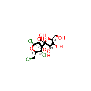 OC[C@H]1O[C@@](CO)([C@@]2(O)[C@@H](O)[C@H](Cl)O[C@H](CCl)[C@@H]2Cl)[C@@H](O)[C@@H]1O